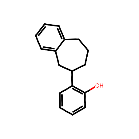 Oc1ccc[c]c1C1CCCc2ccccc2C1